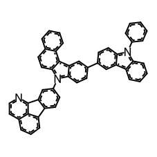 c1ccc(-n2c3ccccc3c3cc(-c4ccc5c(c4)c4c6ccccc6ccc4n5-c4ccc5c(c4)-c4nccc6cccc-5c46)ccc32)cc1